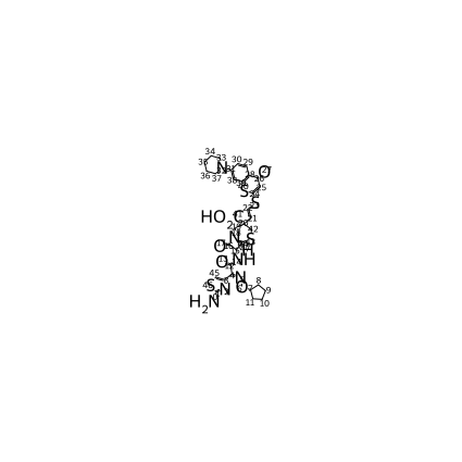 Nc1nc(C(=NOC2CCCC2)C(=O)NC2C(=O)N3CC(C=CSc4cc(=O)c5ccc(N6CCCCC6)cc5s4)(C(=O)O)CS[C@H]23)cs1